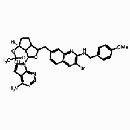 COc1ccc(CNc2nc3cc(CC4O[C@@H](n5ccc6c(N)ncnc65)[C@@]56OC(C)(C)O[C@H]5CCC46)ccc3cc2Br)cc1